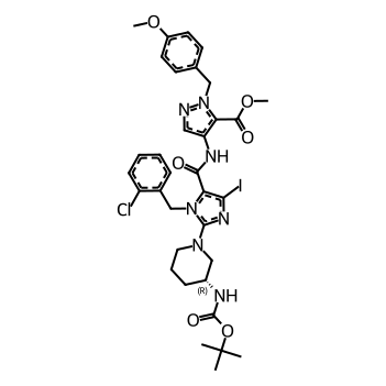 COC(=O)c1c(NC(=O)c2c(I)nc(N3CCC[C@@H](NC(=O)OC(C)(C)C)C3)n2Cc2ccccc2Cl)cnn1Cc1ccc(OC)cc1